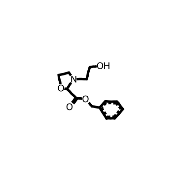 O=C(OCc1ccccc1)C1OCCN1CCO